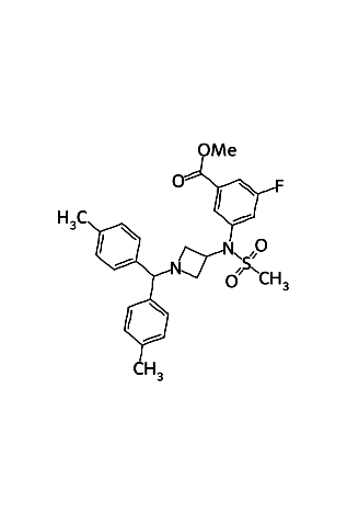 COC(=O)c1cc(F)cc(N(C2CN(C(c3ccc(C)cc3)c3ccc(C)cc3)C2)S(C)(=O)=O)c1